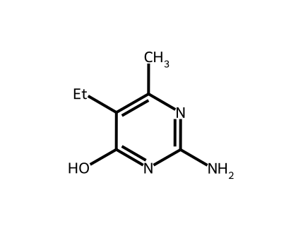 CCc1c(C)nc(N)nc1O